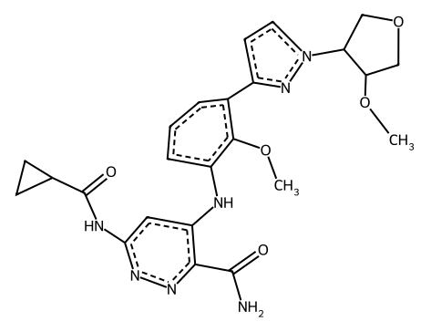 COc1c(Nc2cc(NC(=O)C3CC3)nnc2C(N)=O)cccc1-c1ccn(C2COCC2OC)n1